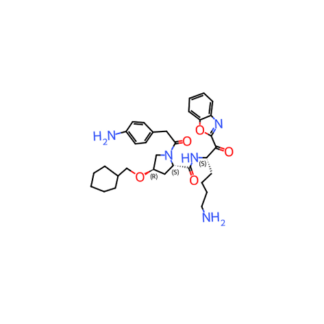 NCCCC[C@H](NC(=O)[C@@H]1C[C@@H](OCC2CCCCC2)CN1C(=O)Cc1ccc(N)cc1)C(=O)c1nc2ccccc2o1